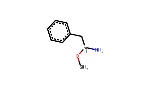 N[SiH](Cc1ccccc1)O[SiH3]